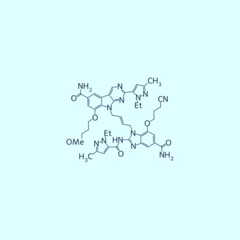 CCn1nc(C)cc1C(=O)Nc1nc2cc(C(N)=O)cc(OCCCC#N)c2n1C/C=C/Cn1c2nc(-c3cc(C)nn3CC)ncc2c2cc(C(N)=O)cc(OCCCOC)c21